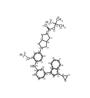 COc1cc(N2CC3CN(C(=O)OC(C)(C)C)CC3C2)ccc1Nc1nccc(-c2cn(C3CC3)c3ccccc23)n1